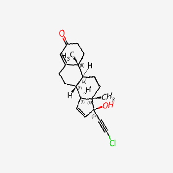 C[C@]12CCC(=O)C=C1CC[C@@H]1[C@@H]2CC[C@@]2(C)[C@H]1C=C[C@@]2(O)C#CCl